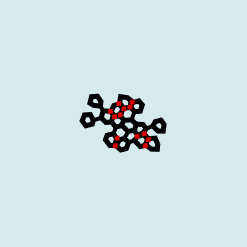 c1ccc(-c2cc3c(-c4ccccc4)c4c(-c5ccccc5-c5ccccc5)c5cc(-c6ccccc6)c(-c6ccccc6)cc5c(-c5ccccc5-c5ccccc5)c4c(-c4ccccc4)c3cc2-c2ccccc2)cc1